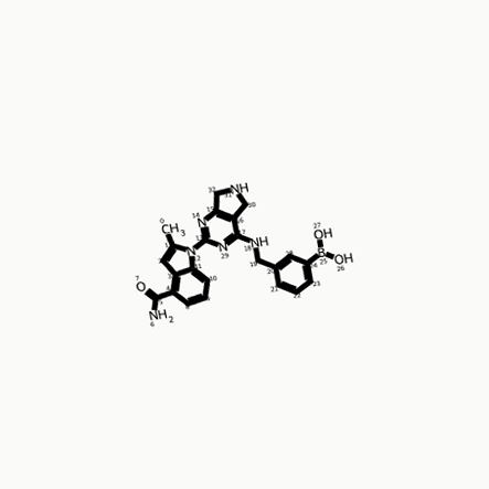 Cc1cc2c(C(N)=O)cccc2n1-c1nc2c(c(NCc3cccc(B(O)O)c3)n1)CNC2